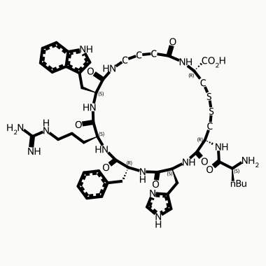 CCCC[C@H](N)C(=O)N[C@H]1CSSC[C@@H](C(=O)O)NC(=O)CCCNC(=O)[C@H](Cc2c[nH]c3ccccc23)NC(=O)[C@H](CCCNC(=N)N)NC(=O)[C@@H](Cc2ccccc2)NC(=O)[C@H](Cc2c[nH]cn2)NC1=O